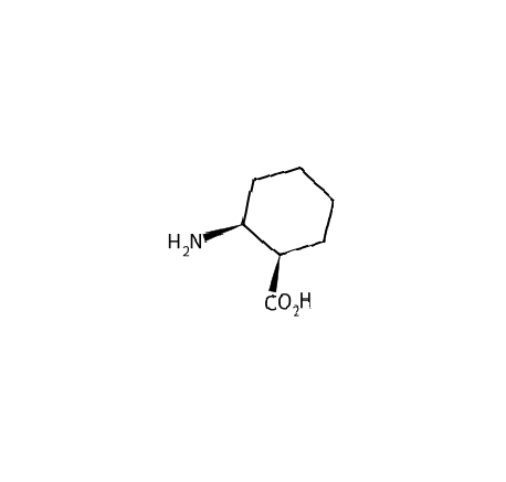 N[C@H]1CCCC[C@H]1C(=O)O